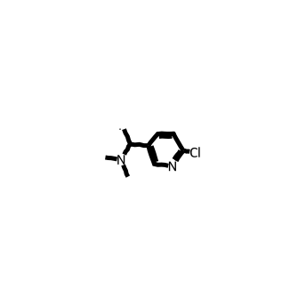 [CH2]C(c1ccc(Cl)nc1)N(C)C